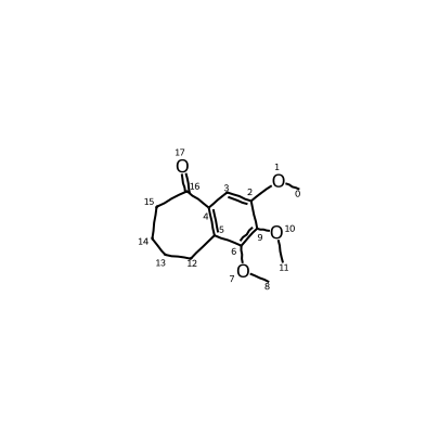 COc1cc2c(c(OC)c1OC)CCCCC2=O